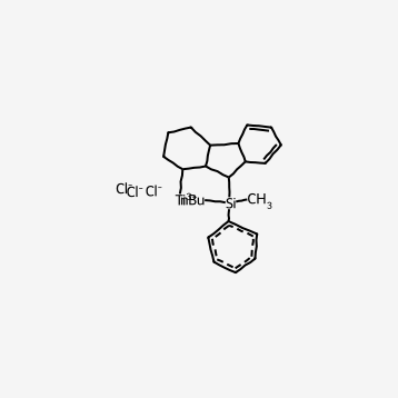 CCCC[Si](C)(c1ccccc1)C1C2C=CC=CC2C2CCC[CH]([Ti+3])C21.[Cl-].[Cl-].[Cl-]